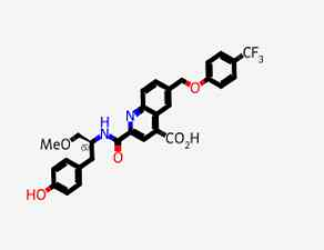 COC[C@H](Cc1ccc(O)cc1)NC(=O)c1cc(C(=O)O)c2cc(COc3ccc(C(F)(F)F)cc3)ccc2n1